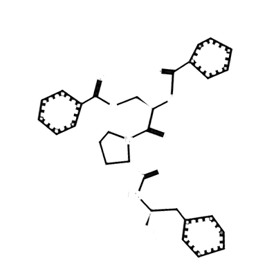 O=C(SC[C@@H](SC(=O)c1ccccc1)C(=O)N1CCC[C@H]1C(=O)N[C@@H](Cc1ccccc1)C(=O)O)c1ccccc1